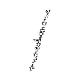 C=CC(=O)OCCCCOc1ccc(/C=C/C(=O)Oc2ccc(/C=N/N=C(\CCCC)c3ccc(OC(=O)/C=C/c4ccc(OCCCCOC(=O)C=C)cc4)cc3)cc2)cc1